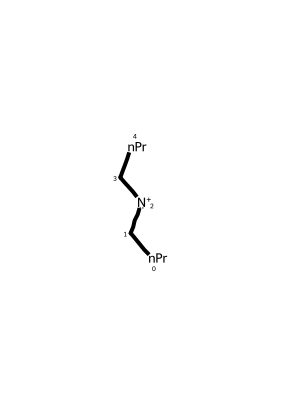 CCCC[N+]CCCC